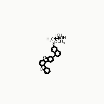 CC(C)(O)C(C)(I)OSc1ccc2c(-c3ccc4c(c3)oc3ccc5oc6ccccc6c5c34)cccc2c1